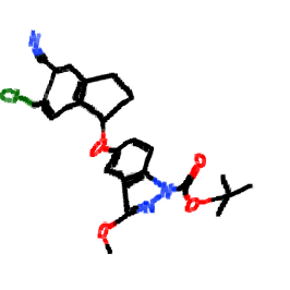 COc1nn(C(=O)OC(C)(C)C)c2ccc(OC3CCc4cc(C#N)c(Cl)cc43)cc12